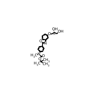 CN(C(=O)OC(C)(C)C)c1ccc(-c2nc3cc(OC[C@H](O)CO)ccc3o2)cc1